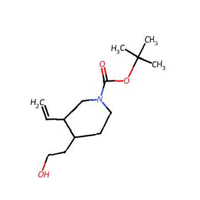 C=CC1CN(C(=O)OC(C)(C)C)CCC1CCO